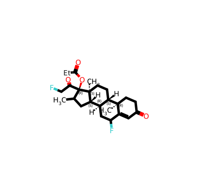 CCC(=O)O[C@]1(C(=O)CF)C(C)C[C@H]2[C@@H]3CC(F)C4=CC(=O)CC[C@]4(C)[C@H]3CC[C@@]21C